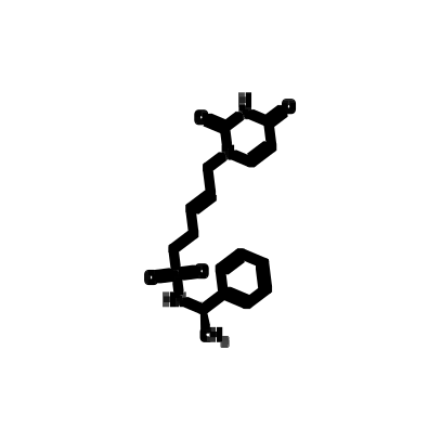 C[C@@H](NS(=O)(=O)CC/C=C/Cn1ccc(=O)[nH]c1=O)c1ccccc1